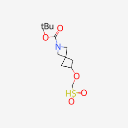 CC(C)(C)OC(=O)N1CC2(CC(OC[SH](=O)=O)C2)C1